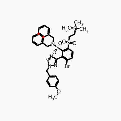 COc1ccc(Cn2nnc(-c3c(Br)ccc(S(=O)(=O)CC[Si](C)(C)C)c3S(=O)(=O)N(Cc3ccccc3)Cc3ccccc3)n2)cc1